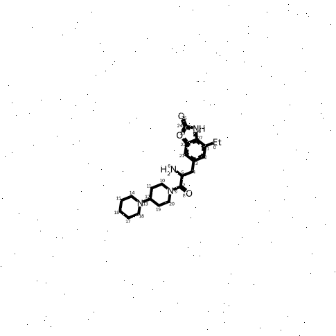 CCc1cc(CC(N)C(=O)N2CCC(N3CCCCC3)CC2)cc2oc(=O)[nH]c12